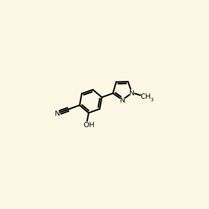 Cn1ccc(-c2ccc(C#N)c(O)c2)n1